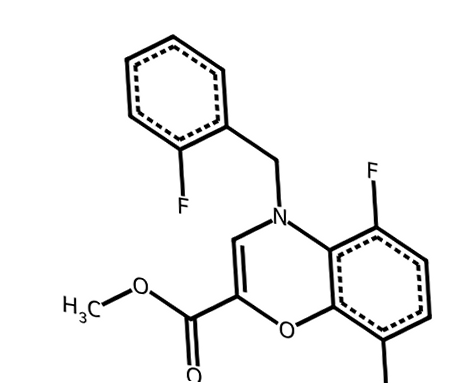 COC(=O)C1=CN(Cc2ccccc2F)c2c(F)ccc(F)c2O1